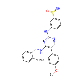 CCOc1ccc(-c2cnc(Nc3cccc([SH](=N)=O)c3)nc2NCc2ccccc2OC)cc1